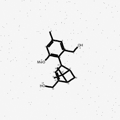 COc1cc(C)cc(CO)c1C1C=C(CO)C2CC1C2(C)C